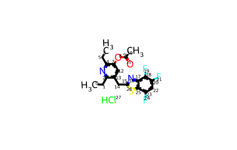 CCc1nc(CC)c(OC(C)=O)cc1Cc1nc2c(F)c(F)cc(F)c2s1.Cl